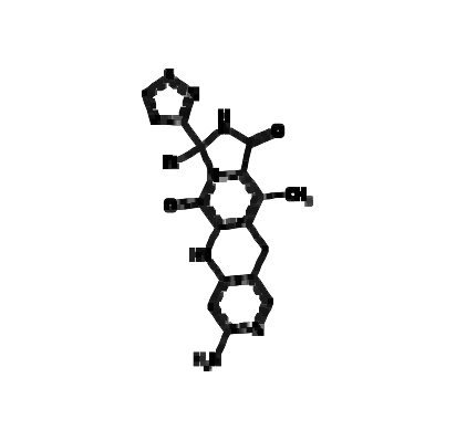 CCC1(c2ccsn2)NC(=O)c2c(C)c3c(c(=O)n21)Nc1cc(N)ncc1C3